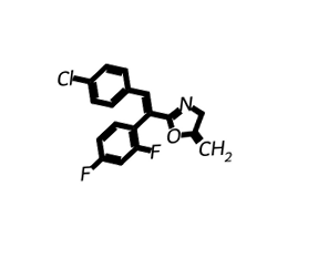 C=C1CN=C(/C(=C/c2ccc(Cl)cc2)c2ccc(F)cc2F)O1